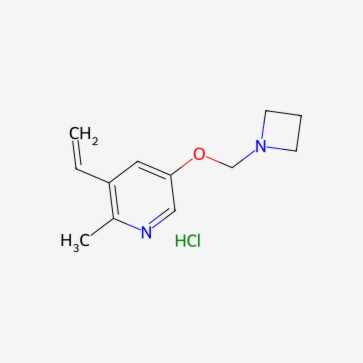 C=Cc1cc(OCN2CCC2)cnc1C.Cl